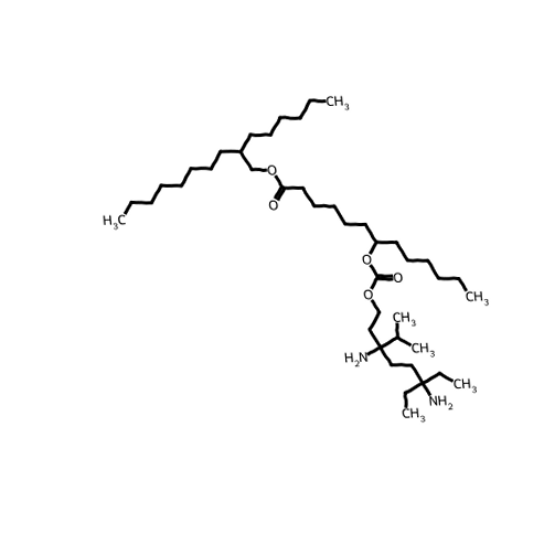 CCCCCCCCC(CCCCCC)COC(=O)CCCCCC(CCCCCC)OC(=O)OCCC(N)(CCC(N)(CC)CC)C(C)C